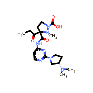 CCC(=O)C1(C(=O)Nc2ccnc(N3CC[C@H](N(C)C)C3)n2)CCN(C(=O)O)N1C